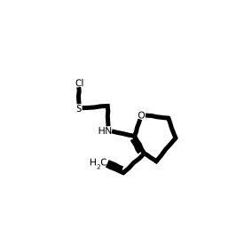 C=CC1=C(NCSCl)OCCC1